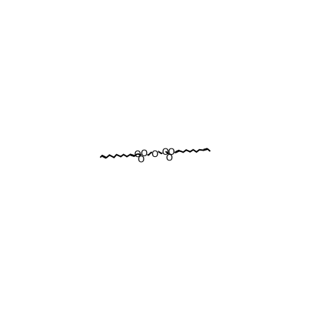 CC=CCCCCCCC=COC(=O)OCCOCCOC(=O)OC=CCCCCCCC=CC